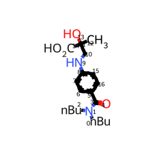 CCCCN(CCCC)C(=O)c1ccc(NCC(C)(O)C(=O)O)cc1